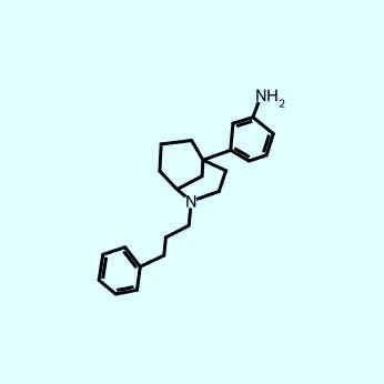 Nc1cccc(C23CCCC(C2)N(CCCc2ccccc2)CC3)c1